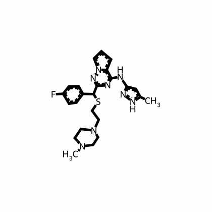 Cc1cc(Nc2nc(C(SCCN3CCN(C)CC3)c3ccc(F)cc3)nn3cccc23)n[nH]1